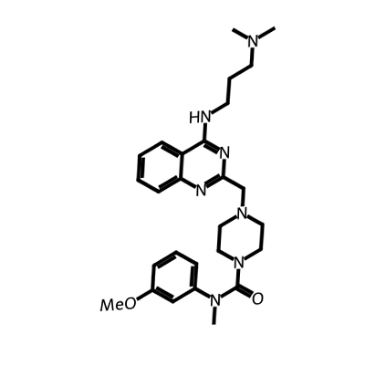 COc1cccc(N(C)C(=O)N2CCN(Cc3nc(NCCCN(C)C)c4ccccc4n3)CC2)c1